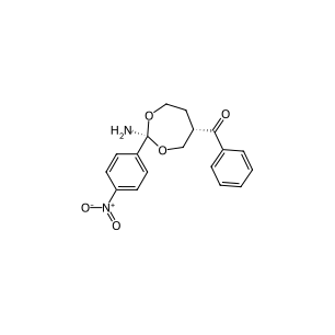 N[C@]1(c2ccc([N+](=O)[O-])cc2)OCC[C@H](C(=O)c2ccccc2)CO1